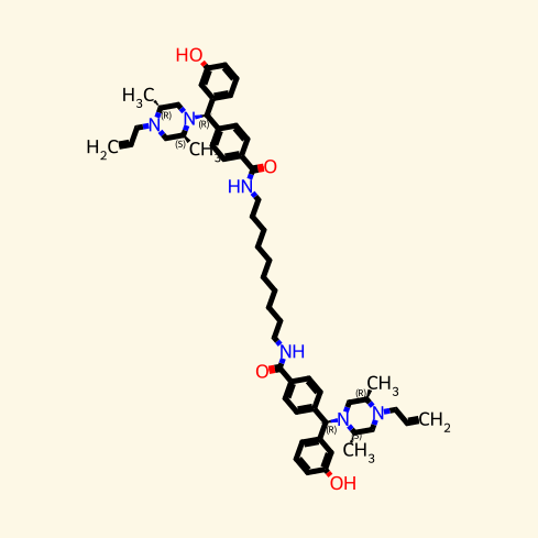 C=CCN1C[C@H](C)N([C@H](c2ccc(C(=O)NCCCCCCCCCCNC(=O)c3ccc([C@H](c4cccc(O)c4)N4C[C@@H](C)N(CC=C)C[C@@H]4C)cc3)cc2)c2cccc(O)c2)C[C@H]1C